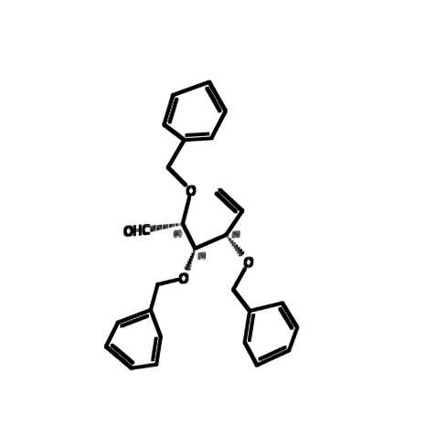 C=C[C@H](OCc1ccccc1)[C@H](OCc1ccccc1)[C@H](C=O)OCc1ccccc1